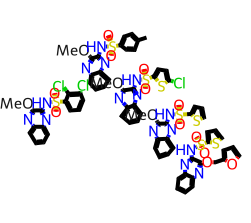 COc1nc2ccccc2nc1NS(=O)(=O)c1ccc(C)cc1.COc1nc2ccccc2nc1NS(=O)(=O)c1ccc(Cl)s1.COc1nc2ccccc2nc1NS(=O)(=O)c1cccc(Cl)c1Cl.COc1nc2ccccc2nc1NS(=O)(=O)c1cccs1.O=S(=O)(Nc1nc2ccccc2nc1OCc1ccco1)c1cccs1